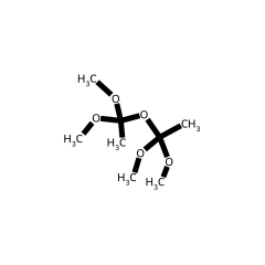 COC(C)(OC)OC(C)(OC)OC